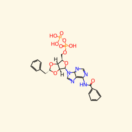 O=C(Nc1ncnc2c1ncn2[C@@H]1O[C@H](COP(=O)(O)OP(=O)(O)O)[C@H]2O[C@@H](Cc3ccccc3)O[C@H]21)c1ccccc1